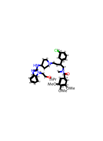 CCCOCCn1c(NC2CCN(CCC(CN(C)C(=O)c3cc(OC)c(OC)c(OC)c3)c3cccc(Cl)c3)CC2)nc2ccccc21